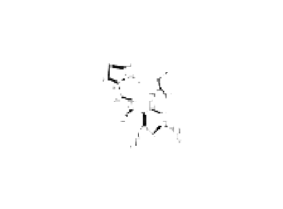 CCC(=O)Oc1cc(OC)cc(OC)c1C(=O)C=Cc1cccn1C